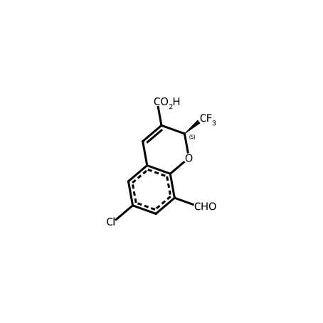 O=Cc1cc(Cl)cc2c1O[C@H](C(F)(F)F)C(C(=O)O)=C2